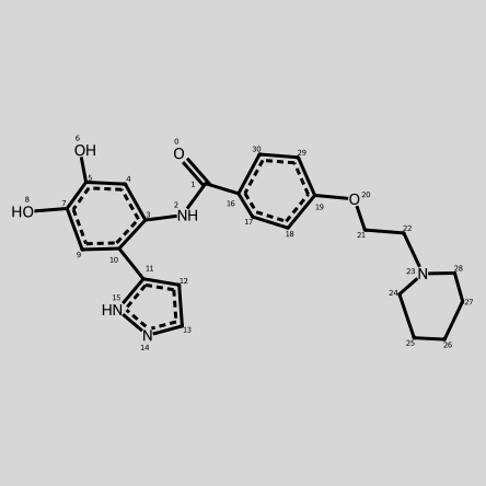 O=C(Nc1cc(O)c(O)cc1-c1ccn[nH]1)c1ccc(OCCN2CCCCC2)cc1